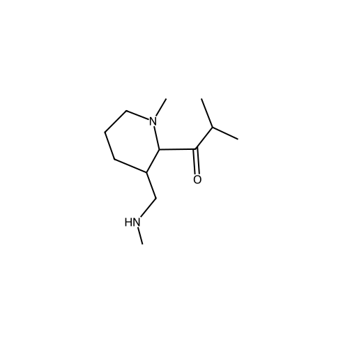 CNCC1CCCN(C)C1C(=O)C(C)C